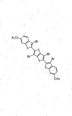 CC(=O)Oc1ccc2c(Br)c(-c3sc4c(Br)c(-c5sc6cc(OC(C)=O)ccc6c5Br)sc4c3Br)sc2c1